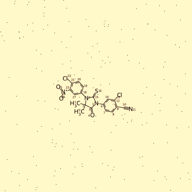 CC1(C)C(=O)N(c2ccc(C#N)c(Cl)c2)C(=S)N1c1ccc(Cl)c([N+](=O)[O-])c1